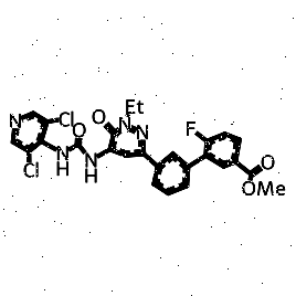 CCn1nc(-c2cccc(-c3cc(C(=O)OC)ccc3F)c2)cc(NC(=O)Nc2c(Cl)cncc2Cl)c1=O